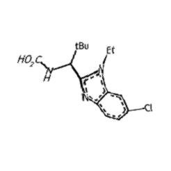 CCn1c(C(NC(=O)O)C(C)(C)C)nc2ccc(Cl)cc21